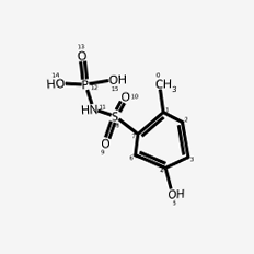 Cc1ccc(O)cc1S(=O)(=O)NP(=O)(O)O